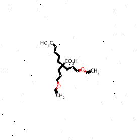 C=COCCCC(CCCCC(=O)O)(CCCOC=C)C(=O)O